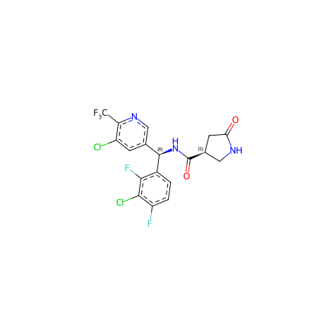 O=C1C[C@H](C(=O)N[C@H](c2cnc(C(F)(F)F)c(Cl)c2)c2ccc(F)c(Cl)c2F)CN1